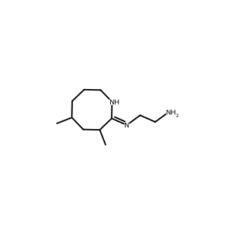 CC1CCCN/C(=N\CCN)C(C)C1